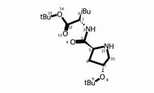 CC[C@H](C)[C@H](NC(=O)[C@@H]1C[C@@H](OC(C)(C)C)CN1)C(=O)OC(C)(C)C